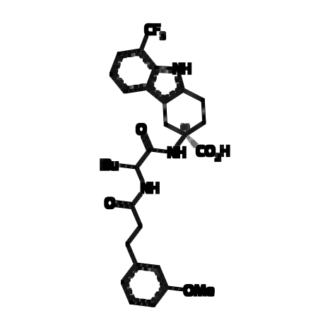 CCC(C)C(NC(=O)CCc1cccc(OC)c1)C(=O)N[C@]1(C(=O)O)CCc2[nH]c3c(C(F)(F)F)cccc3c2C1